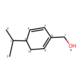 CC(C)C1C=CC(CO)=CC1